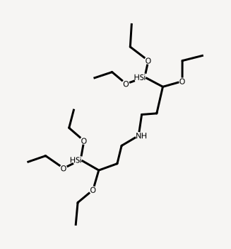 CCOC(CCNCCC(OCC)[SiH](OCC)OCC)[SiH](OCC)OCC